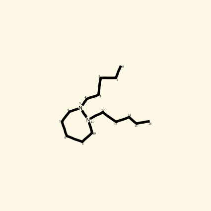 CCCCCN1CCCCCN1CCCCC